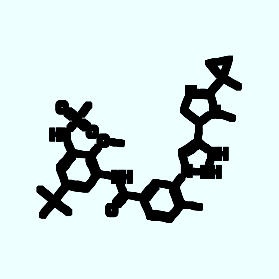 COc1c(NC(=O)c2ccc(C)c(N3C=C(C4CN=C(C5(C)CC5)N4C)NN3)c2)cc(C(C)(C)C)cc1NS(C)(=O)=O